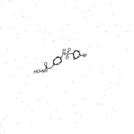 O=C(Cc1ccc(NS(=O)(=O)c2ccc(Br)cc2)cc1)NO